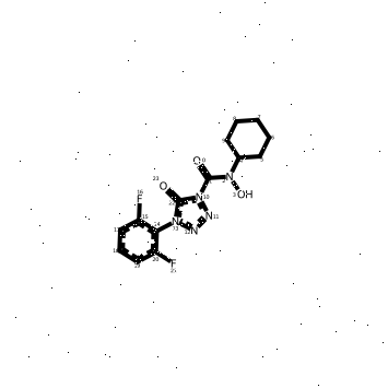 O=C(N(O)C1CCCCC1)n1nnn(-c2c(F)cccc2F)c1=O